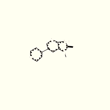 Cn1c(=S)[nH]c2ncc(-c3ccncc3)cc21